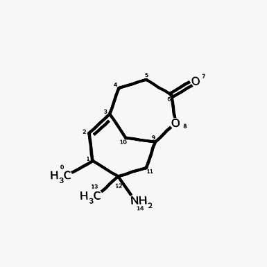 CC1C=C2CCC(=O)OC(C2)CC1(C)N